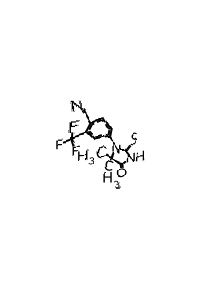 CC1(C)C(=O)NC(=S)N1c1ccc(C#N)c(C(F)(F)F)c1